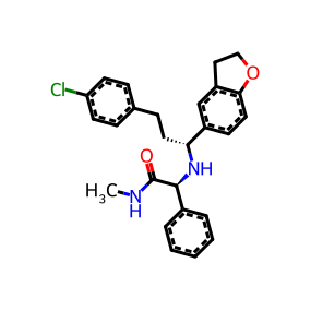 CNC(=O)[C@@H](N[C@H](CCc1ccc(Cl)cc1)c1ccc2c(c1)CCO2)c1ccccc1